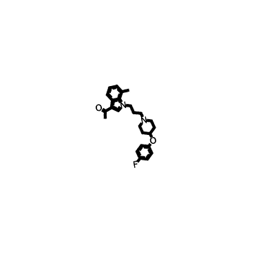 CC(=O)c1cn(CCCN2CCC(Oc3ccc(F)cc3)CC2)c2c(C)cccc12